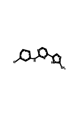 Cc1ncc(-c2ccnc(Nc3cccc(Cl)c3)n2)[nH]1